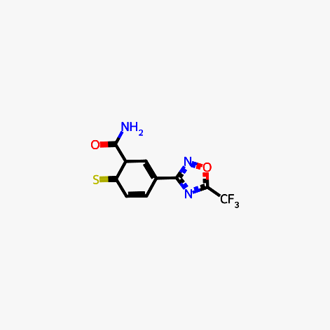 NC(=O)C1C=C(c2noc(C(F)(F)F)n2)C=CC1=S